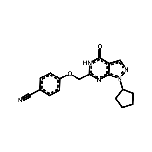 N#Cc1ccc(OCc2nc3c(cnn3C3CCCC3)c(=O)[nH]2)cc1